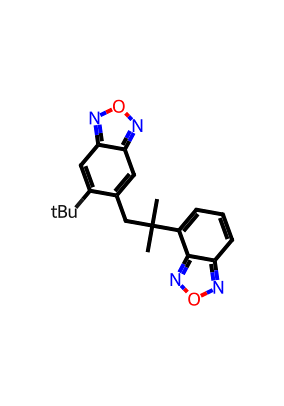 CC(C)(C)c1cc2nonc2cc1CC(C)(C)c1cccc2nonc12